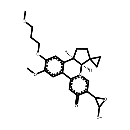 COCCCOc1cc2c(cc1OC)-c1cc(=O)c(C3OC3O)cn1[C@H]1[C@@H]2CCC12CC2